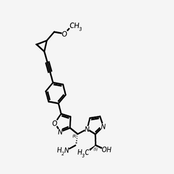 COCC1CC1C#Cc1ccc(-c2cc([C@@H](CN)n3ccnc3[C@H](C)O)no2)cc1